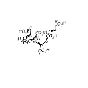 C=C(CC(=O)O)C(=O)O.C=CC(=O)O.C=CC(=O)O.C=CC(=O)OCC